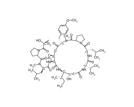 CC[C@H](C)[C@H]1NC(=O)[C@@H](NC(=O)[C@@H](CC(C)C)N(C)C(=O)C2CCCN2C(=O)[C@H](C)O)[C@@H](C)OC(=O)[C@H](Cc2ccc(OC)cc2)N(C)C(=O)C2CCCN2C(=O)[C@H](CC(C)C)NC(=O)[C@H](C(C)C)NC(=O)C[C@@H]1O